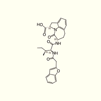 CC[C@H](C)[C@H](NC(=O)Cc1cc2ccccc2o1)C(=O)N[C@H]1CCc2cccc3c2N(C1=O)[C@H](C(=O)O)C3